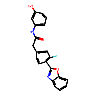 O=C(Cc1ccc(-c2nc3ccccc3o2)c(F)c1)Nc1cccc(O)c1